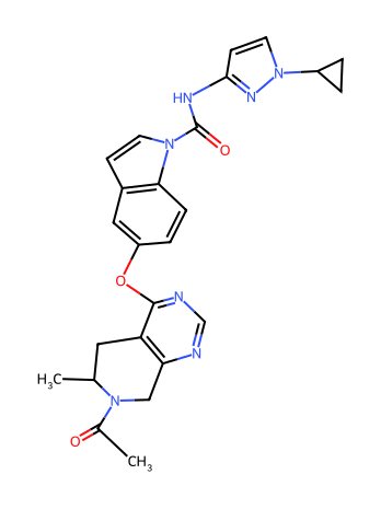 CC(=O)N1Cc2ncnc(Oc3ccc4c(ccn4C(=O)Nc4ccn(C5CC5)n4)c3)c2CC1C